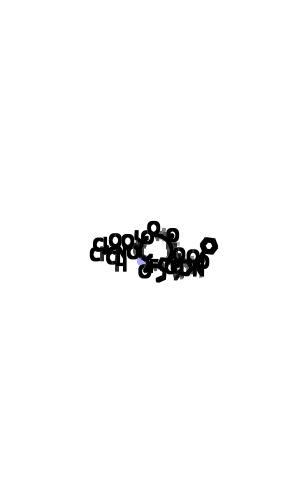 C=CC1O[C@]2(C)C[C@]1(F)C(=O)/C(C)=C/[C@](C)(OC(=O)NC(=O)C(Cl)(Cl)Cl)[C@@H](CC)OC(=O)[C@H](C)C(=O)[C@H](C)[C@H]2O[C@@H]1O[C@H](C)C[C@H](N(C)C)[C@H]1OC(=O)c1ccccc1